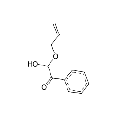 C=CCOC(O)C(=O)c1ccccc1